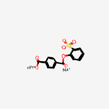 CCCOC(=O)c1ccc(C(=O)Oc2ccccc2S(=O)(=O)[O-])cc1.[Na+]